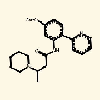 COc1ccc(-c2ccccn2)c(NC(=O)CC(C)N2CCCCC2)c1